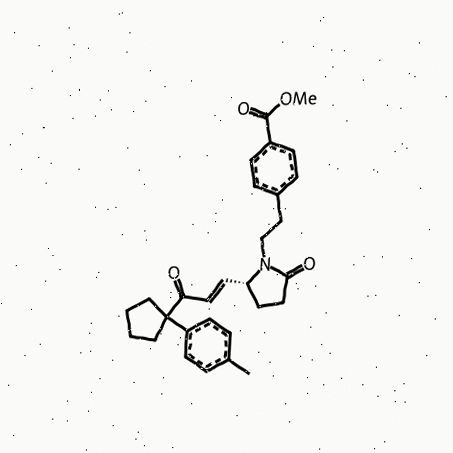 COC(=O)c1ccc(CCN2C(=O)CC[C@@H]2/C=C/C(=O)C2(c3ccc(C)cc3)CCCC2)cc1